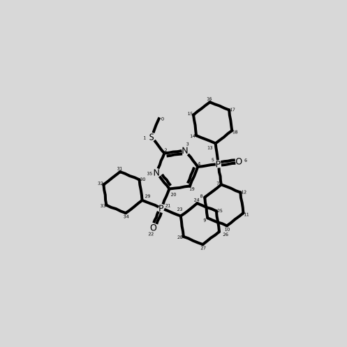 CSc1nc(P(=O)(C2CCCCC2)C2CCCCC2)cc(P(=O)(C2CCCCC2)C2CCCCC2)n1